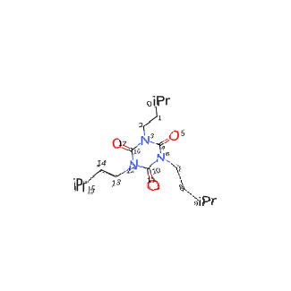 CC(C)CCn1c(=O)n(CCC(C)C)c(=O)n(CCC(C)C)c1=O